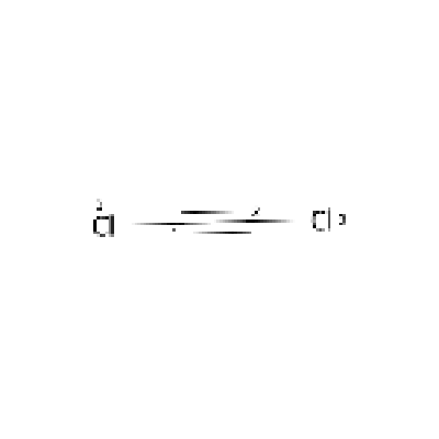 ClC#CCl